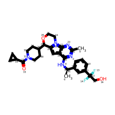 Cc1nc(N[C@H](C)c2cccc(C(F)(F)CO)c2)c2cc3n(c2n1)CCOC3C1CCN(C(=O)C2CC2)CC1